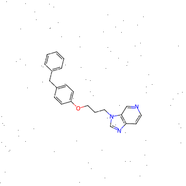 c1ccc(Cc2ccc(OCCCn3cnc4ccncc43)cc2)cc1